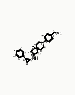 CC(=O)Cc1ccc(N2CCC3(CC2)CC(N[C@@H]2C[C@H]2c2ccccc2)CO3)cc1